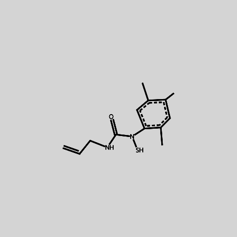 C=CCNC(=O)N(S)c1cc(C)c(C)cc1C